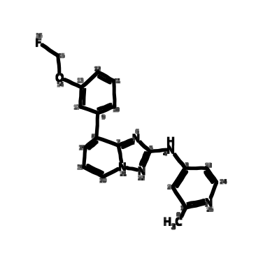 Cc1cc(Nc2nc3c(-c4cccc(OCF)c4)cccn3n2)ccn1